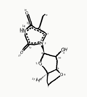 Cc1cn([C@@H]2O[C@@H]3COC3C2O)c(=O)[nH]c1=O